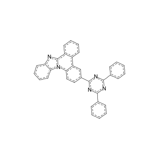 c1ccc(-c2nc(-c3ccccc3)nc(-c3ccc4c(c3)c3ccccc3c3nc5ccccc5n43)n2)cc1